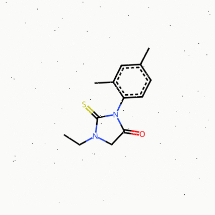 CCN1CC(=O)N(c2ccc(C)cc2C)C1=S